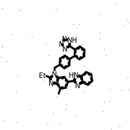 CCc1nc2c(C)cc(-c3nc4ccccc4[nH]3)cc2n1Cc1ccc(-c2ccccc2-c2nnn[nH]2)cc1